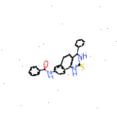 O=C(Nc1ccc2c(c1)CCC1=C2NC(=S)NC1c1ccccc1)c1ccccc1